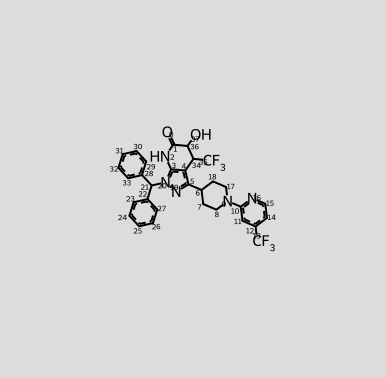 O=C1Nc2c(c(C3CCN(c4cc(C(F)(F)F)ccn4)CC3)nn2C(c2ccccc2)c2ccccc2)C(C(F)(F)F)C1O